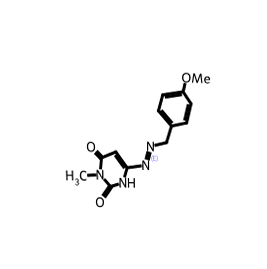 COc1ccc(C/N=N/c2cc(=O)n(C)c(=O)[nH]2)cc1